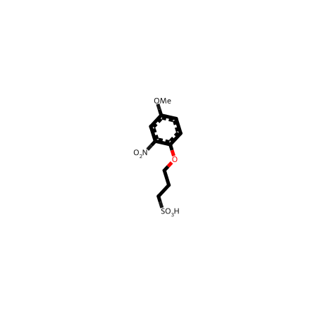 COc1ccc(OCCCS(=O)(=O)O)c([N+](=O)[O-])c1